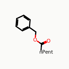 CCCCCC(=O)OCc1ccccc1